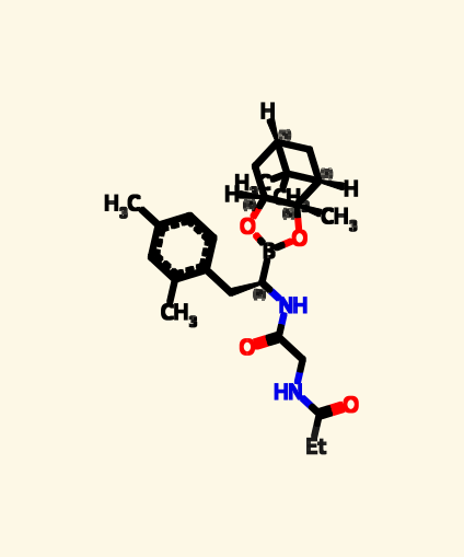 CCC(=O)NCC(=O)N[C@@H](Cc1ccc(C)cc1C)B1O[C@@H]2C[C@@H]3C[C@@H](C3(C)C)[C@]2(C)O1